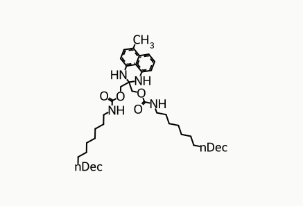 CCCCCCCCCCCCCCCCCNC(=O)OCC1(COC(=O)NCCCCCCCCCCCCCCCCC)Nc2cccc3c(C)ccc(c23)N1